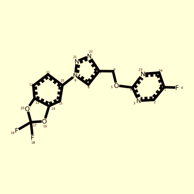 Fc1cnc(OCc2cn(-c3ccc4c(c3)OC(F)(F)O4)nn2)nc1